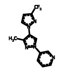 Cc1nn(-c2cccnc2)cc1-n1ccc(C(F)(F)F)n1